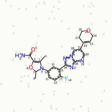 CC1=C(C(N)=O)OC(C)N1c1ccc(F)c(-c2nc3ncc(C4=CCOCC4)cn3n2)c1